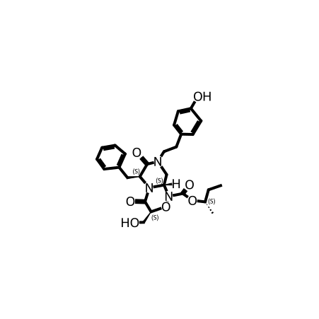 CC[C@H](C)OC(=O)N1O[C@@H](CO)C(=O)N2[C@@H]1CN(CCc1ccc(O)cc1)C(=O)[C@@H]2Cc1ccccc1